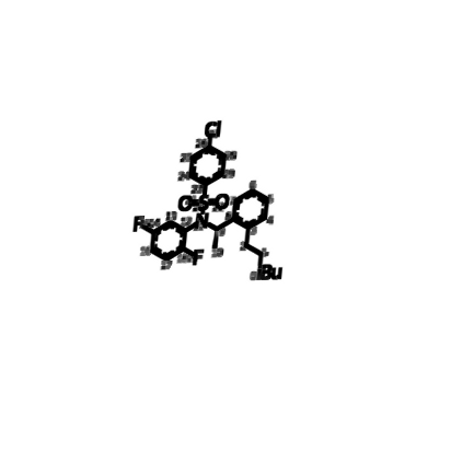 CCC(C)[CH]Cc1ccccc1[C@@H](C)N(c1cc(F)ccc1F)S(=O)(=O)c1ccc(Cl)cc1